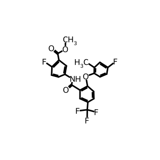 COC(=O)c1cc(NC(=O)c2cc(C(F)(F)F)ccc2Oc2ccc(F)cc2C)ccc1F